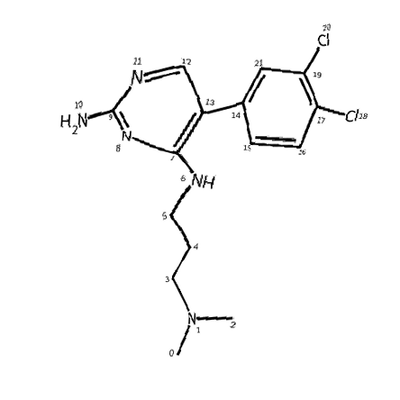 CN(C)CCCNc1nc(N)ncc1-c1ccc(Cl)c(Cl)c1